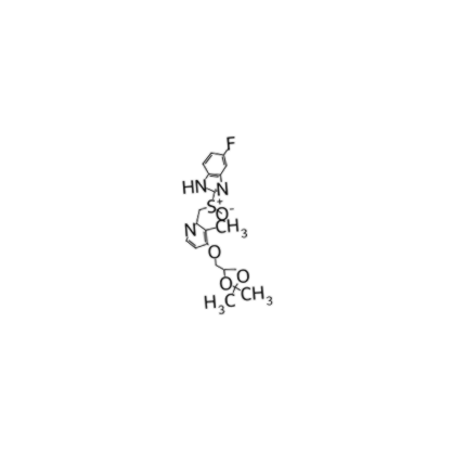 Cc1c(OCC2COC(C)(C)O2)ccnc1C[S+]([O-])c1nc2cc(F)ccc2[nH]1